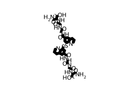 C[C@H](O)[C@H](NC(=O)CNC(=O)CNC(=O)c1cc(SSc2cc(C(=O)NCC(=O)NCC(=O)N[C@H](C(N)=O)[C@H](C)O)cc3cccnc23)c2ncccc2c1)C(N)=O